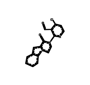 O=Cc1c(Cl)ccnc1-n1ccn2c(cc3ccccc32)c1=O